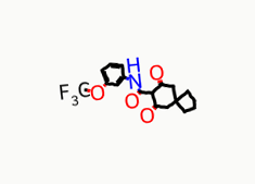 O=C1CC2(CCCC2)CC(=O)C1C(=O)Nc1cccc(OC(F)(F)F)c1